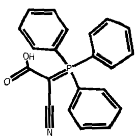 N#CC(C(=O)O)=P(c1ccccc1)(c1ccccc1)c1ccccc1